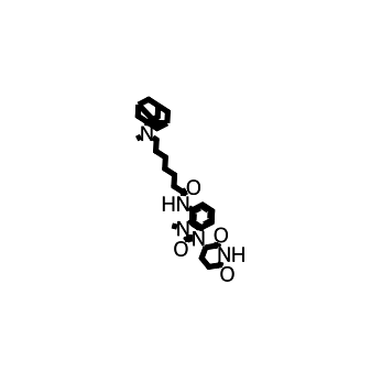 CN(CCCCCCC(=O)Nc1cccc2c1n(C)c(=O)n2C1CCC(=O)NC1=O)C12CC3CC(CC(C3)C1)C2